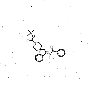 CC(C)(C)OC(=O)N1CCC2(CC1)C[C@H](NC(=O)c1ccccc1)c1ccccc12